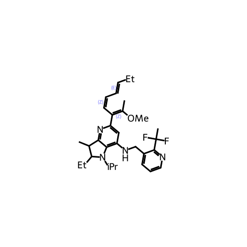 CC/C=C/C=C\C(=C(/C)OC)c1cc(NCc2cccnc2C(C)(F)F)c2c(n1)C(C)C(CC)N2C(C)C